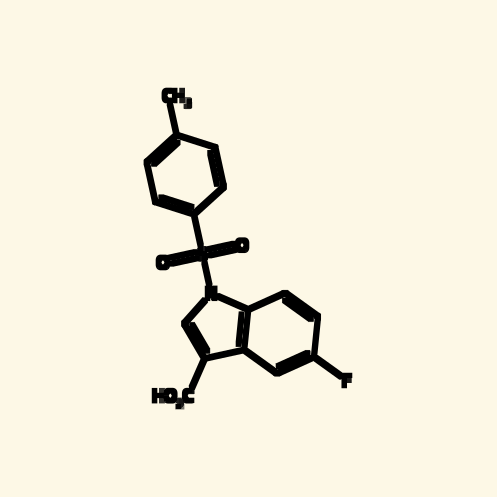 Cc1ccc(S(=O)(=O)n2cc(C(=O)O)c3cc(F)ccc32)cc1